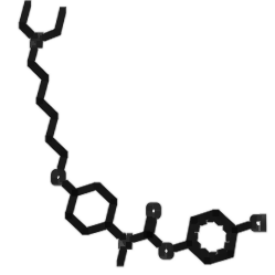 CCN(CC)CCCCCCOC1CCC(N(C)C(=O)Oc2ccc(Cl)cc2)CC1